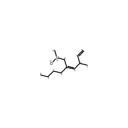 C=CC(C)/C=C(/CCCC)C[S+](C)[O-]